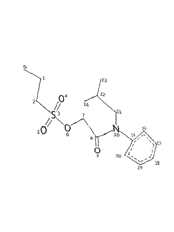 CCCS(=O)(=O)OCC(=O)N(CC(C)C)c1ccccc1